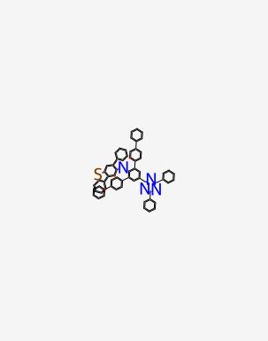 c1ccc(-c2ccc(-c3cc(-c4nc(-c5ccccc5)nc(-c5ccccc5)n4)cc(-c4ccc(-c5ccccc5)cc4)c3-n3c4ccccc4c4cc5sc6ccccc6c5cc43)cc2)cc1